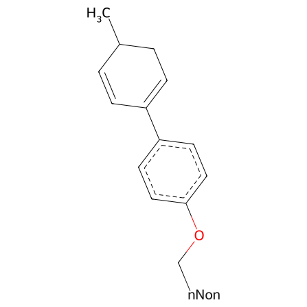 CCCCCCCCCCOc1ccc(C2=CCC(C)C=C2)cc1